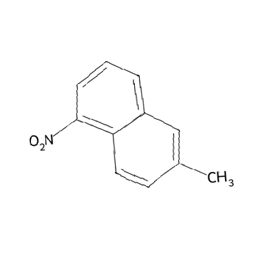 Cc1ccc2c([N+](=O)[O-])cccc2c1